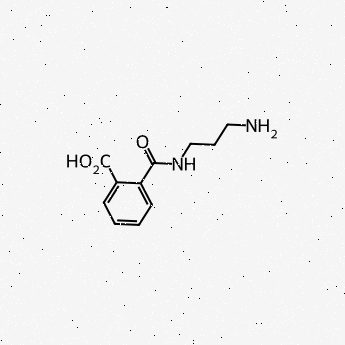 NCCCNC(=O)c1ccccc1C(=O)O